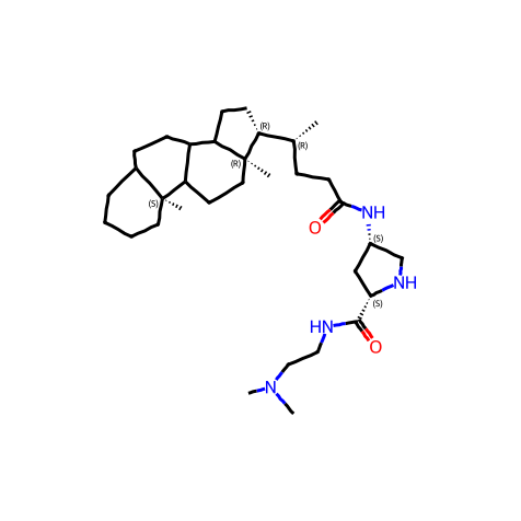 C[C@H](CCC(=O)N[C@@H]1CN[C@H](C(=O)NCCN(C)C)C1)[C@H]1CCC2C3CCC4CCCC[C@]4(C)C3CC[C@@]21C